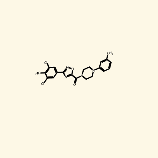 Cc1cccc(N2CCN(C(=O)c3nc(-c4cc(Cl)c(O)c(Cl)c4)no3)CC2)c1